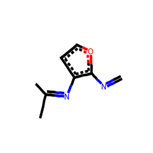 C=Nc1occc1N=C(C)C